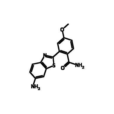 COc1ccc(C(N)=O)c(-c2nc3ccc(N)cc3s2)c1